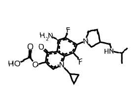 CC(C)NCC1CCN(c2c(F)c(N)c3c(=O)c(OC(=O)O)cn(C4CC4)c3c2F)C1